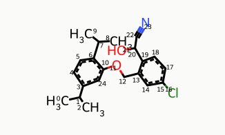 CC(C)c1ccc(C(C)C)c(OCc2cc(Cl)ccc2C(O)C#N)c1